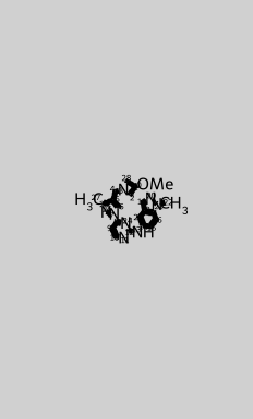 COC1CN(Cc2cn(-c3ccnc(Nc4ccc5c(cnn5C)c4)n3)nc2C)C1